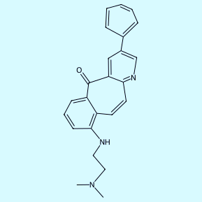 CN(C)CCNc1cccc2c(=O)c3cc(-c4ccccc4)cnc3ccc12